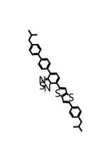 CC(C)Cc1ccc(-c2ccc(-c3ccc(-c4cc5sc(-c6ccc(CC(C)C)cc6)cc5s4)c4nsnc34)cc2)cc1